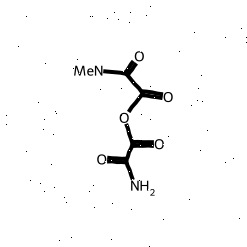 CNC(=O)C(=O)OC(=O)C(N)=O